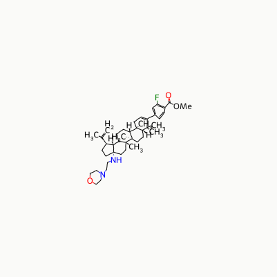 C=C(C)[C@@H]1CC[C@]2(NCCN3CCOCC3)CC[C@]3(C)C(CC[C@@H]4[C@@]5(C)CC=C(c6ccc(C(=O)OC)c(F)c6)C(C)(C)[C@@H]5CC[C@]43C)[C@@H]12